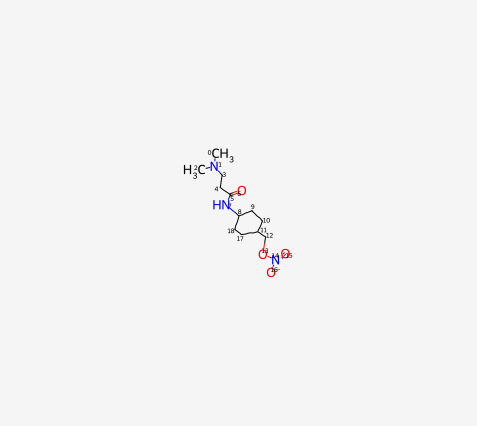 CN(C)CCC(=O)NC1CCC(CO[N+](=O)[O-])CC1